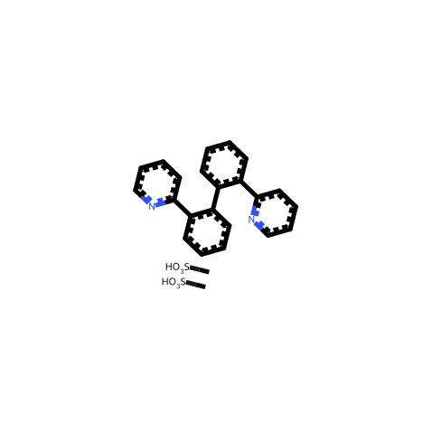 CS(=O)(=O)O.CS(=O)(=O)O.c1ccc(-c2ccccc2-c2ccccc2-c2ccccn2)nc1